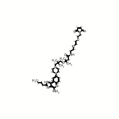 CCCCc1nc2c(N)nc3ccc(N4CCN(CC(C)(C)COC(C)(C)CC(=O)NCCOCCOCCN5C(=O)C=CC5=O)CC4)cc3c2[nH]1